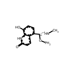 CNC[C@H](OP)c1ccc(O)c2[nH]c(=O)ccc12